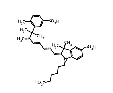 C=C(/C=C/C=C/C=C1/N(CCCCCC(=O)O)c2ccc(S(=O)(=O)O)cc2C1(C)C)C(C)(C)c1cc(S(=O)(=O)O)ccc1C